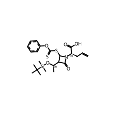 C=CC[C@H](C(=O)O)N1C(=O)C([C@@H](C)O[Si](C)(C)C(C)(C)C)C1SC(=S)Oc1ccccc1